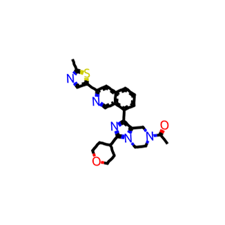 CC(=O)N1CCn2c(C3CCOCC3)nc(-c3cccc4cc(-c5cnc(C)s5)ncc34)c2C1